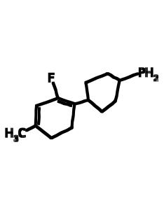 CC1=CC(F)=C(C2CCC(P)CC2)CC1